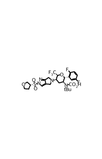 CC(C)(C)N(C(=O)O)[C@H]1C[C@@H](N2Cc3cn(S(=O)(=O)[C@@H]4CCOC4)nc3C2)[C@@H](C(F)(F)F)O[C@@H]1c1cc(F)ccc1F